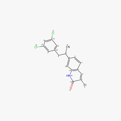 CCc1cc2ccc(C(C#N)Cc3cc(Cl)cc(Cl)c3)cc2[nH]c1=O